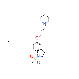 CS(=O)(=O)N1CCc2cc(OCCCN3CCCCC3)ccc21